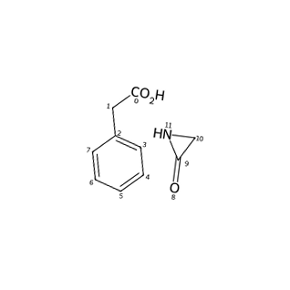 O=C(O)Cc1ccccc1.O=C1CN1